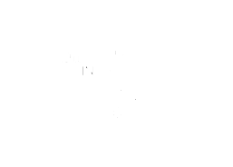 CC(C)(C)NC(=O)C1OC12CCCCC2